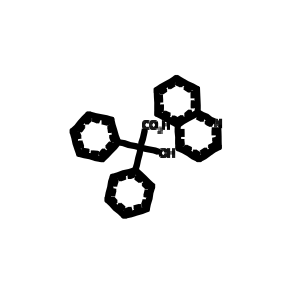 O=C(O)C(O)(c1ccccc1)c1ccccc1.c1ccc2ncccc2c1